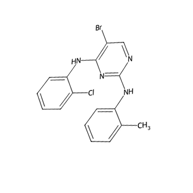 Cc1ccccc1Nc1ncc(Br)c(Nc2ccccc2Cl)n1